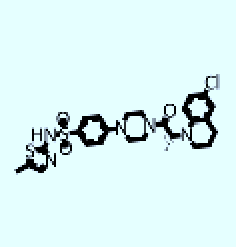 Cc1cnc(NS(=O)(=O)c2ccc(N3CCN(C(=O)[C@@H](C)N4CCCc5cc(Cl)ccc54)CC3)cc2)s1